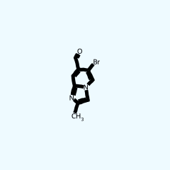 Cc1cn2cc(Br)c(C=O)cc2n1